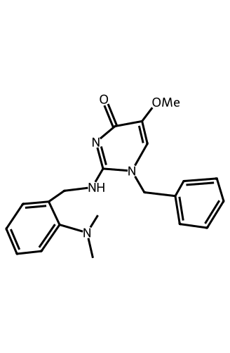 COc1cn(Cc2ccccc2)c(NCc2ccccc2N(C)C)nc1=O